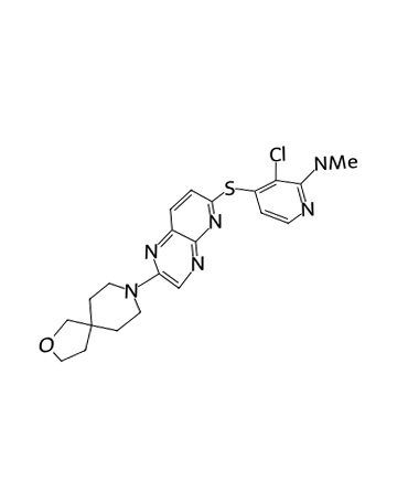 CNc1nccc(Sc2ccc3nc(N4CCC5(CCOC5)CC4)cnc3n2)c1Cl